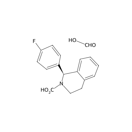 O=C(O)N1CCc2ccccc2[C@@H]1c1ccc(F)cc1.O=CO